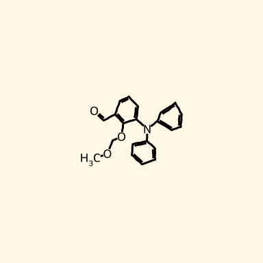 COCOc1c(C=O)cccc1N(c1ccccc1)c1ccccc1